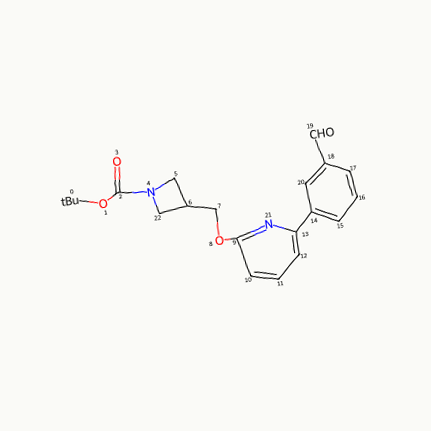 CC(C)(C)OC(=O)N1CC(COc2cccc(-c3cccc(C=O)c3)n2)C1